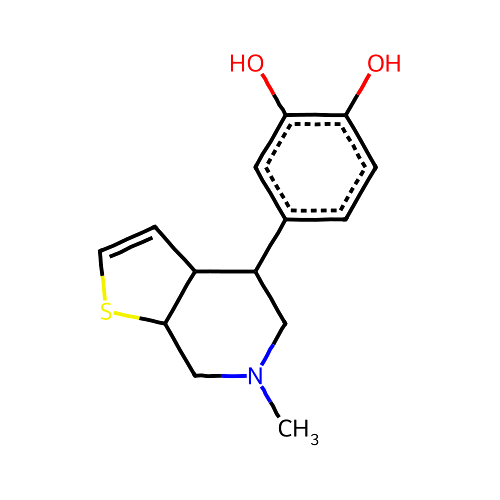 CN1CC2SC=CC2C(c2ccc(O)c(O)c2)C1